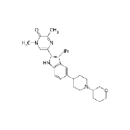 Cc1nc(-c2[nH]c3ccc(C4CCN(C5CCCOC5)CC4)cc3c2C(C)C)cn(C)c1=O